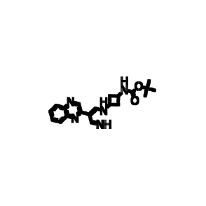 CC(C)(C)OC(=O)NC1CC(N/C=C(\C=N)c2cnc3ccccc3n2)C1